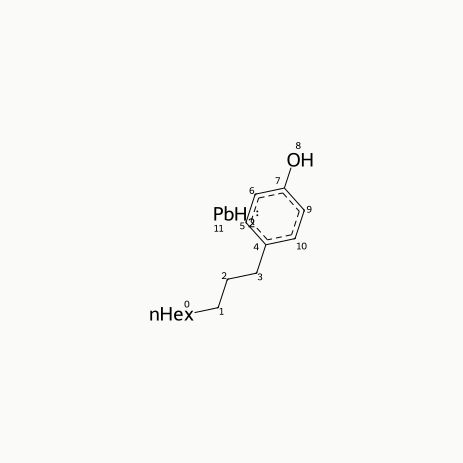 CCCCCCCCCc1ccc(O)cc1.[PbH2]